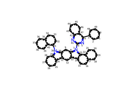 c1ccc(-c2nc(-n3c4cc5c(cc4c4ccc6ccccc6c43)c3ccccc3n5-c3cccc4ccccc34)nc3ccccc23)cc1